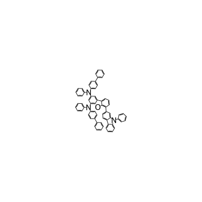 c1ccc(-c2ccc(N(c3ccccc3)c3cc(N(c4ccccc4)c4ccc(-c5ccccc5)cc4)c4oc5c(-c6ccc7c8ccccc8n(-c8ccccc8)c7c6)cccc5c4c3)cc2)cc1